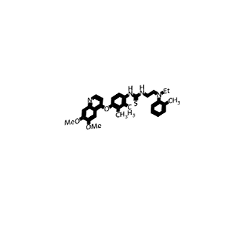 CCN(CCNC(=S)Nc1ccc(Oc2ccnc3cc(OC)c(OC)cc23)c(C)c1C)c1ccccc1C